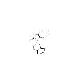 OCc1[nH]c(=S)n(C2CCc3ccccc3C2)c1CO